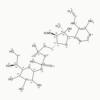 C=CNc1c(N)ncnc1C1O[C@H](COP(=O)(S)OP(=O)(O)OC2OC([C@@H](O)CO)C(O)C(O)C2O)[C@@H](NC(C)=O)[C@@]1(C)O